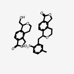 Cc1ccc(S(=O)(=O)O)c(CC2OCCc3c2ccc2c3COC2=O)c1.O=C1OCc2c1ccc1c2CCOC1CO